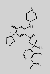 CN1CCC(Nc2cc(=O)n([C@@]3(C)CCOC3)cc2C(=O)N[C@](C)(N)c2cccc(C(F)P)c2P)CC1